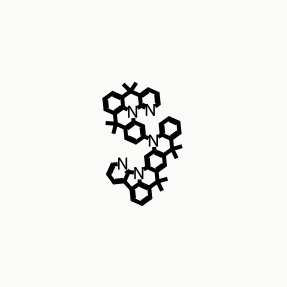 CC1(C)c2ccccc2N(c2ccc3c(c2)N2c4ncccc4C(C)(C)c4cccc(c42)C3(C)C)c2cc3c(cc21)C(C)(C)c1cccc2c4cccnc4n-3c12